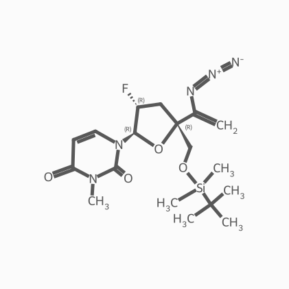 C=C(N=[N+]=[N-])[C@@]1(CO[Si](C)(C)C(C)(C)C)C[C@@H](F)[C@H](n2ccc(=O)n(C)c2=O)O1